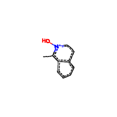 Cc1c2ccccc2cc[n+]1O